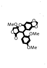 COc1ccc(C2c3cc4c(cc3OC3(OC)COC(=O)C23)OCO4)c(OC)c1